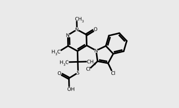 Cc1nn(C)c(=O)c(-n2c(Cl)c(Cl)c3ccccc32)c1C(C)(C)SC(=O)O